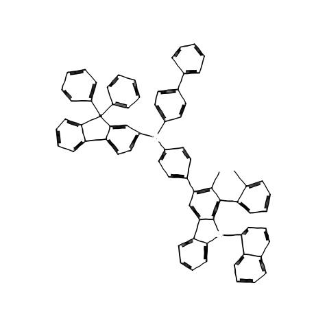 Cc1ccccc1-c1c(C)c(-c2ccc(N(c3ccc(-c4ccccc4)cc3)c3ccc4c(c3)C(c3ccccc3)(c3ccccc3)c3ccccc3-4)cc2)cc2c3ccccc3n(-c3cccc4ccccc34)c12